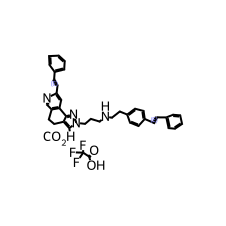 O=C(O)C(F)(F)F.O=C(O)c1c2c(nn1CCCNCCc1ccc(/C=C/c3ccccc3)cc1)-c1cc(/C=C/c3ccccc3)ncc1CC2